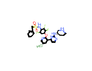 Cl.O=S(=O)(Cc1ccccc1)Nc1c(F)cc(Oc2ncccc2-c2ccnc(N[C@H]3CCCNC3)n2)c(F)c1F